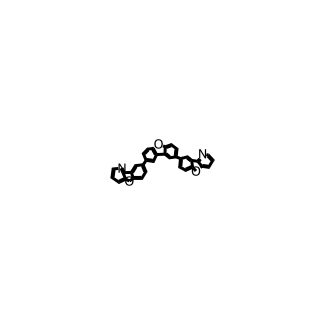 c1cnc2c(c1)oc1ccc(-c3ccc4oc5ccc(-c6ccc7oc8cccnc8c7c6)cc5c4c3)cc12